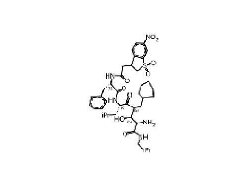 CC(C)CNC(=O)C(N)[C@@H](O)[C@H](CC1CCCCC1)C(=O)[C@H](CC(C)C)NC(=O)[C@H](Cc1ccccc1)NC(=O)CC1CS(=O)(=O)c2cc([N+](=O)[O-])ccc21